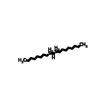 CCCCCCCC[SiH2]N[SiH2]CCCCCCCC